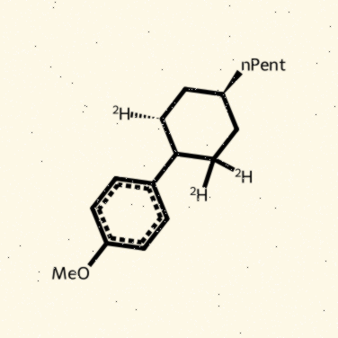 [2H][C@@H]1C[C@@H](CCCCC)CC([2H])([2H])C1c1ccc(OC)cc1